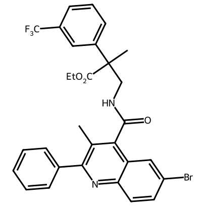 CCOC(=O)C(C)(CNC(=O)c1c(C)c(-c2ccccc2)nc2ccc(Br)cc12)c1cccc(C(F)(F)F)c1